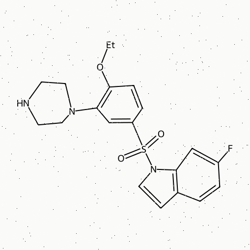 CCOc1ccc(S(=O)(=O)n2ccc3ccc(F)cc32)cc1N1CCNCC1